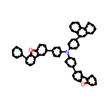 c1ccc(-c2cccc3c2oc2ccc(-c4ccc(N(c5ccc(-c6ccc7oc8ccccc8c7c6)cc5)c5ccc(-c6cc7ccccc7c7ccccc67)cc5)cc4)cc23)cc1